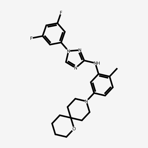 Cc1ccc(N2CCC3(CCCCO3)CC2)cc1Nc1ncn(-c2cc(F)cc(F)c2)n1